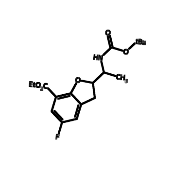 CCOC(=O)c1cc(F)cc2c1OC(C(C)NC(=O)OC(C)(C)C)C2